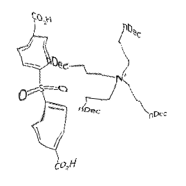 CCCCCCCCCCCC[N+](CCCCCCCCCCCC)(CCCCCCCCCCCC)CCCCCCCCCCCC.O=C(O)c1ccc(S(=O)(=O)c2ccc(C(=O)O)cc2)cc1